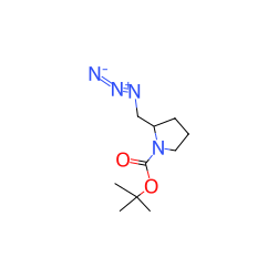 CC(C)(C)OC(=O)N1CCCC1CN=[N+]=[N-]